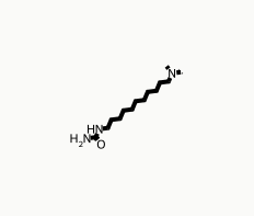 C[N+](C)CCCCCCCCCCCNC(N)=O